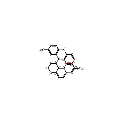 Cc1ccc2c(c1)C(C1CCOc3ccc4cc(C)ccc4c31)c1cc(C)ccc1S2